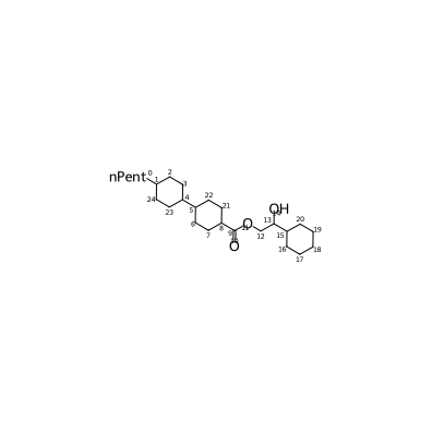 CCCCCC1CCC(C2CCC(C(=O)OCC(O)C3CCCCC3)CC2)CC1